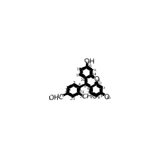 O=Cc1ccc(-c2c3ccc(=O)cc-3oc3cc(O)ccc23)c(C=O)c1